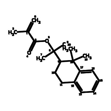 C=C(C)C(=O)OC(C)(C)C1CCc2ccccc2C1(C)C